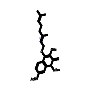 CCCCCCn1c(=O)c(OC(C)=O)c(OC/C=C(\C)CCC=C(C)C)c2ccc(NC(C)=O)cc21